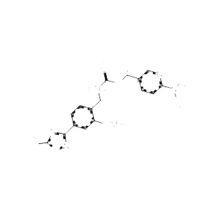 COc1cc(-c2noc(C(F)(F)F)n2)ccc1CNC(=O)OCc1ccc(N(C)C)nc1